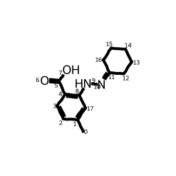 Cc1ccc(C(=O)O)c(NN=C2CCCCC2)c1